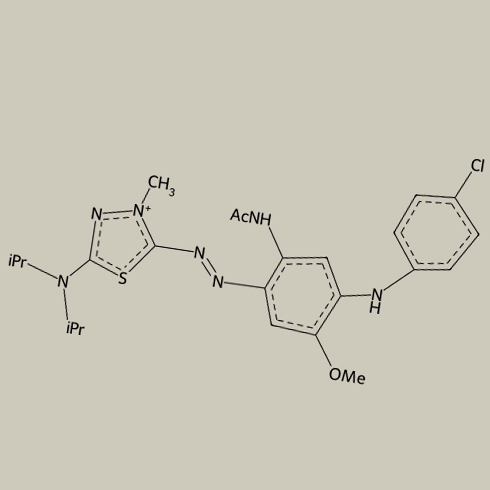 COc1cc(N=Nc2sc(N(C(C)C)C(C)C)n[n+]2C)c(NC(C)=O)cc1Nc1ccc(Cl)cc1